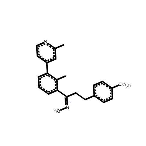 Cc1cc(-c2cccc(/C(CCc3ccc(C(=O)O)cc3)=N\O)c2C)ccn1